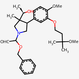 COc1ccc(C2CN(C(C=O)OCc3ccccc3)CC2(C)[C@@H](C)O)cc1OCCC(C)(C)OC